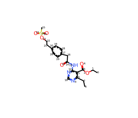 CCOC(=O)c1c(CC)ncnc1NC(=O)Cc1ccc(CCOS(C)(=O)=O)cc1